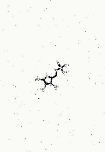 O=P(O)(O)OCC1OC(O)[C@H](O)[C@@H]1O